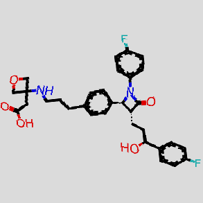 O=C(O)CC1(NCCCc2ccc([C@@H]3[C@@H](CC[C@H](O)c4ccc(F)cc4)C(=O)N3c3ccc(F)cc3)cc2)COC1